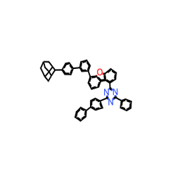 c1ccc(-c2ccc(-c3nc(-c4ccccc4)nc(-c4cccc5oc6c(-c7cccc(-c8ccc(C9C%10CC%11CC%12CC9C%12%10C%11)cc8)c7)cccc6c45)n3)cc2)cc1